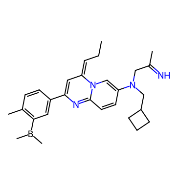 CC/C=C1/C=C(c2ccc(C)c(B(C)C)c2)N=C2C=CC(N(CC(C)=N)CC3CCC3)=CN21